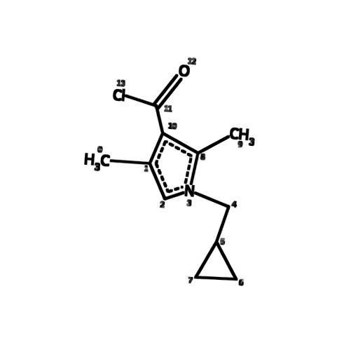 Cc1cn(CC2CC2)c(C)c1C(=O)Cl